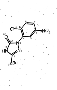 CCCCc1nn(-c2cc([N+](=O)[O-])ccc2Cl)c(=O)[nH]1